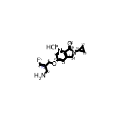 Cl.NC/C(=C/F)COc1cnc2c(c1)CN(C1CC1)C2=O